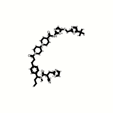 CCCC(c1ccc(CCC(=O)N2CCC(N3CCC(C(=O)Nc4ncc(SCc5ncc(C(C)(C)C)o5)s4)CC3)CC2)cc1)N(C)C(=O)C(C#N)Cc1nccs1